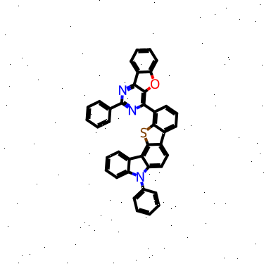 c1ccc(-c2nc(-c3cccc4c3sc3c4ccc4c3c3ccccc3n4-c3ccccc3)c3oc4ccccc4c3n2)cc1